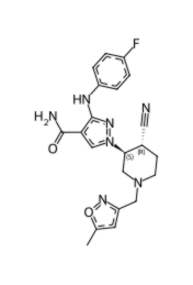 Cc1cc(CN2CC[C@@H](C#N)[C@H](n3cc(C(N)=O)c(Nc4ccc(F)cc4)n3)C2)no1